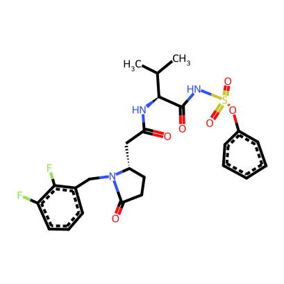 CC(C)[C@H](NC(=O)C[C@@H]1CCC(=O)N1Cc1cccc(F)c1F)C(=O)NS(=O)(=O)Oc1ccccc1